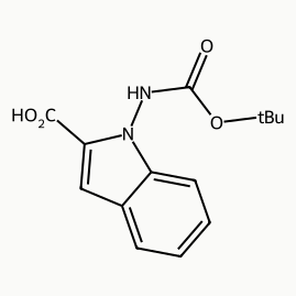 CC(C)(C)OC(=O)Nn1c(C(=O)O)cc2ccccc21